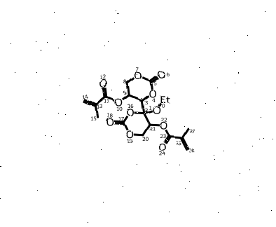 [CH2]COC1([C]2OC(=O)OCC2OC(=O)C(=C)C)OC(=O)OCC1OC(=O)C(=C)C